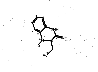 CC(=O)CC1C(=N)Nc2ccccc2N1C